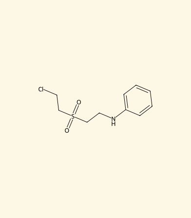 O=S(=O)(CCCl)CCNc1ccccc1